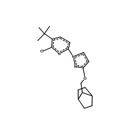 CC(C)(C)c1ccc(-n2ccc(OCC3C4CCC3CC4)n2)nc1Cl